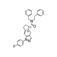 C[C@]12Cc3cnn(-c4ccc(F)cc4)c3C=C1CC[C@@H]2C(=O)N(CCc1ccccc1)Cc1ccccc1